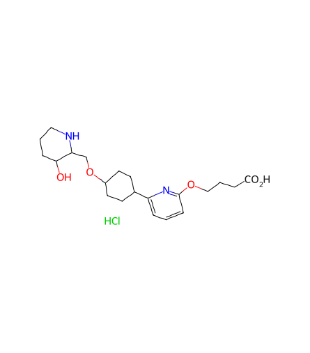 Cl.O=C(O)CCCOc1cccc(C2CCC(OCC3NCCCC3O)CC2)n1